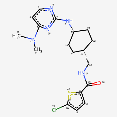 CN(C)c1ccnc(N[C@H]2CC[C@@H](CNC(=O)c3ccc(Cl)s3)CC2)n1